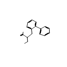 CCC(Cc1ccccc1-c1ccccc1)C(=O)Cl